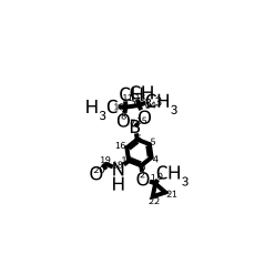 CC1(Oc2ccc(B3OC(C)(C)C(C)(C)O3)cc2NC=O)CC1